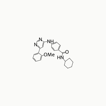 COc1ccccc1-c1cc(Nc2ccc(C(=O)NC3CCCCC3)cc2)ncn1